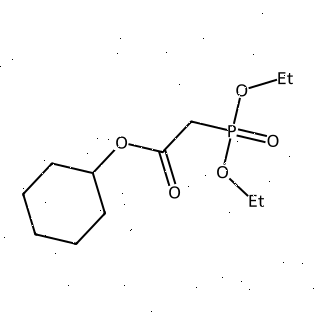 CCOP(=O)(CC(=O)OC1CCCCC1)OCC